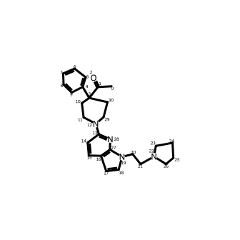 CC(=O)C1(c2ccccc2)CCN(c2ccc3ccn(CCN4CCCC4)c3n2)CC1